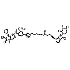 CC[C@@H]1C(=O)N(C)c2cnc(Nc3ccc(-c4cn(CCCCCCNCCC#Cc5cccc6c5CN(C5CCC(=O)NC5=O)C6=O)nn4)cc3OC)nc2N1C1CCCC1